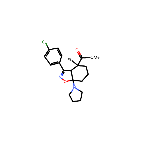 CCC1(C(=O)OC)CCCC2(N3CCCC3)ON=C(c3ccc(Cl)cc3)C12